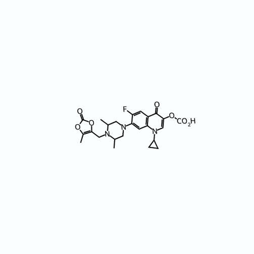 Cc1oc(=O)oc1CN1C(C)CN(c2cc3c(cc2F)c(=O)c(OC(=O)O)cn3C2CC2)CC1C